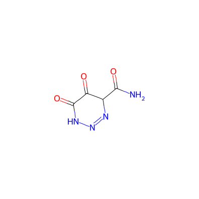 NC(=O)C1N=NNC(=O)C1=O